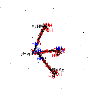 CCCCCCCNC(=O)C(CCCCNC(=O)COCCOCCOCCO[C@@H]1O[C@H](CO)[C@H](O)[C@H](O)[C@H]1NC(C)=O)NC(=O)C(CCCCNC(=O)COCCOCCOCCO[C@@H]1O[C@H](CO)[C@H](O)[C@H](O)[C@H]1NC(C)=O)NC(=O)COCCOCCOCCO[C@@H]1O[C@H](CO)[C@H](O)[C@H](O)[C@H]1N